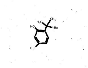 CCCCC(C)(C)c1ccc(C)cc1O